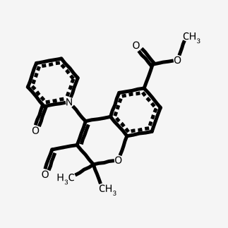 COC(=O)c1ccc2c(c1)C(n1ccccc1=O)=C(C=O)C(C)(C)O2